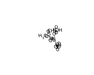 COc1ccc(Cn2cc(Cc3ccc(CN(Cc4ccccc4)C(=O)O)cc3)n3cc(-c4cn(S(=O)(=O)c5ccccc5)c5ncccc45)cc3c2=O)c(OC)c1